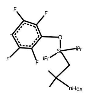 CCCCCCC(C)(C)C[Si](Oc1c(F)c(F)[c]c(F)c1F)(C(C)C)C(C)C